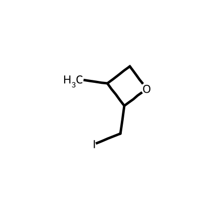 CC1COC1CI